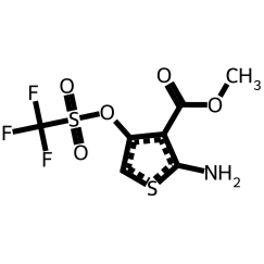 COC(=O)c1c(OS(=O)(=O)C(F)(F)F)csc1N